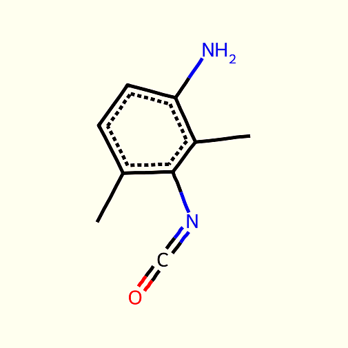 Cc1ccc(N)c(C)c1N=C=O